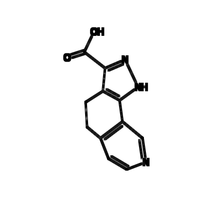 O=C(O)c1n[nH]c2c1CCc1ccncc1-2